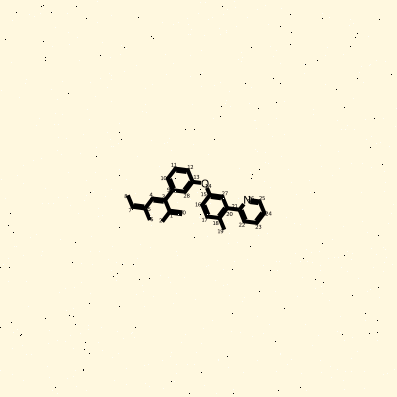 C=C(C)/C(=C\C(C)=C/C)c1cccc(Oc2ccc(C)c(-c3ccccn3)c2)c1